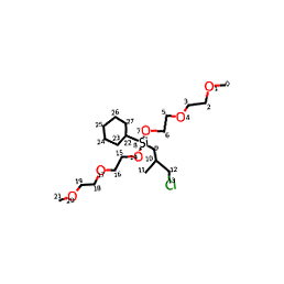 COCCOCCO[Si](CC(C)CCl)(OCCOCCOC)C1CCCCC1